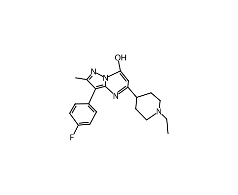 CCN1CCC(c2cc(O)n3nc(C)c(-c4ccc(F)cc4)c3n2)CC1